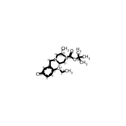 CCOc1ccc(Cl)cc1CN1CCN(C(=O)OC(C)(C)C)[C@@H](C)C1